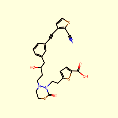 N#Cc1sccc1C#Cc1cccc(CC(O)CCN2CCSC(=O)N2CCc2ccc(C(=O)O)s2)c1